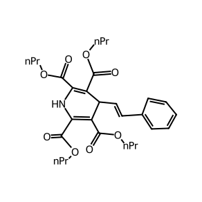 CCCOC(=O)C1=C(C(=O)OCCC)C(C=Cc2ccccc2)C(C(=O)OCCC)=C(C(=O)OCCC)N1